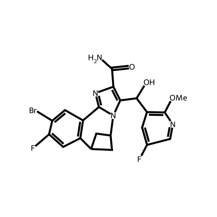 COc1ncc(F)cc1C(O)c1c(C(N)=O)nc2n1C1CC(C1)c1cc(F)c(Br)cc1-2